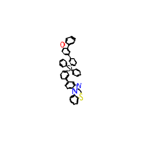 c1ccc([Si](c2ccccc2)(c2cccc(-c3ccc4c(c3)nc3n4-c4ccccc4SC3)c2)c2cccc(-c3ccc4oc5ccccc5c4c3)c2)cc1